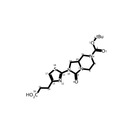 CC(C)(C)OC(=O)N1CCN2C(=O)N(c3nc(CCC(=O)O)cs3)CC2C1